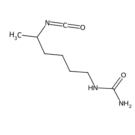 CC(CCCCNC(N)=O)N=C=O